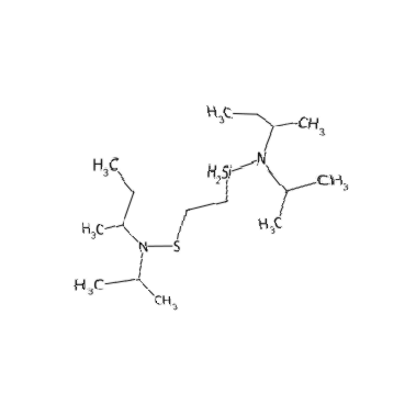 CCC(C)N([SiH2]CCSN(C(C)C)C(C)CC)C(C)C